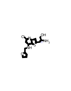 N/C(=C/c1cc2nc(Cl)cc(NCc3ccco3)c2s1)CO